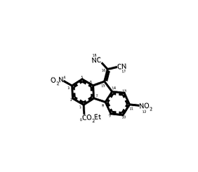 CCOC(=O)c1cc([N+](=O)[O-])cc2c1-c1ccc([N+](=O)[O-])cc1C2=C(C#N)C#N